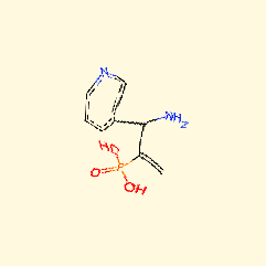 C=C(C(N)c1cccnc1)P(=O)(O)O